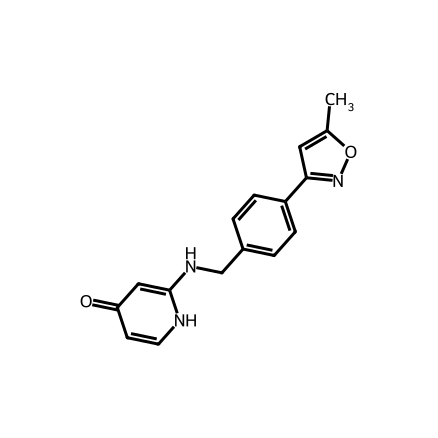 Cc1cc(-c2ccc(CNc3cc(=O)cc[nH]3)cc2)no1